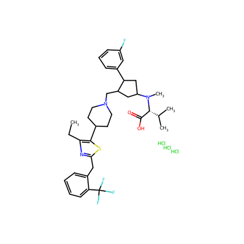 CCc1nc(Cc2ccccc2C(F)(F)F)sc1C1CCN(CC2CC(N(C)[C@@H](C(=O)O)C(C)C)CC2c2cccc(F)c2)CC1.Cl.Cl.Cl